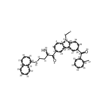 CCn1c2ccc(C(=O)C(=N)CCSc3cccc4ccccc34)cc2c2cc(C(=O)c3ccccc3C)ccc21